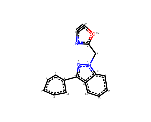 c1nc(Cn2nc(-c3ccccc3)c3ccccc32)oc#1